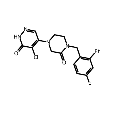 CCc1cc(F)ccc1CN1CCN(c2cn[nH]c(=O)c2Cl)CC1=O